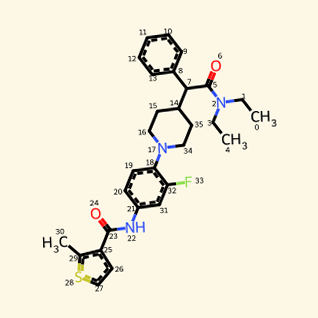 CCN(CC)C(=O)C(c1ccccc1)C1CCN(c2ccc(NC(=O)c3ccsc3C)cc2F)CC1